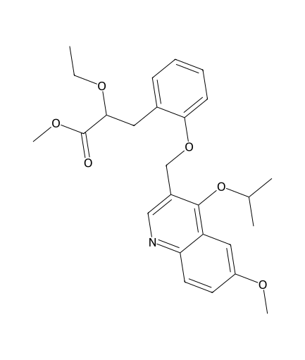 CCOC(Cc1ccccc1OCc1cnc2ccc(OC)cc2c1OC(C)C)C(=O)OC